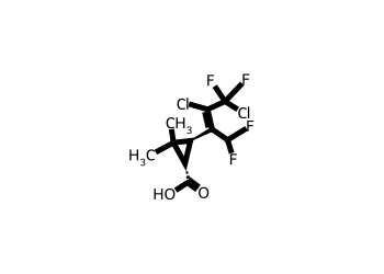 CC1(C)[C@@H](C(=O)O)[C@@H]1C(=C(Cl)C(F)(F)Cl)C(F)F